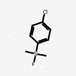 C[Si](C)(F)c1ccc(Cl)cc1